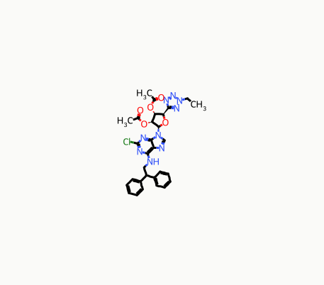 CCn1nnc([C@H]2O[C@@H](n3cnc4c(NCC(c5ccccc5)c5ccccc5)nc(Cl)nc43)[C@H](OC(C)=O)[C@@H]2OC(C)=O)n1